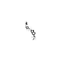 Cc1ncc(-c2ccc3cnc(NC(=O)C4CCN(CC5(C)COC5)C4)cc3c2)n1C